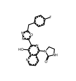 O=C1NCCN1c1nc(-c2nnc(Cc3ccc(F)cc3)o2)c(O)c2ncccc12